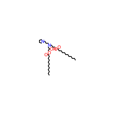 CCCCCCCCCCCC(=O)OCCCN(CCCN1CCCC1)CC(O)COC(=O)CCCCCCCCCCC